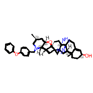 C[C@H]1C[C@H]2O[C@@]34CC[C@@]5(N)C6(N)CCC7=C[C@@H](O)CCC7(C)[C@H]6CC56CC63C[C@@H]4[C@@H]2N(Cc2ccc(Oc3ccccc3)cc2)C1